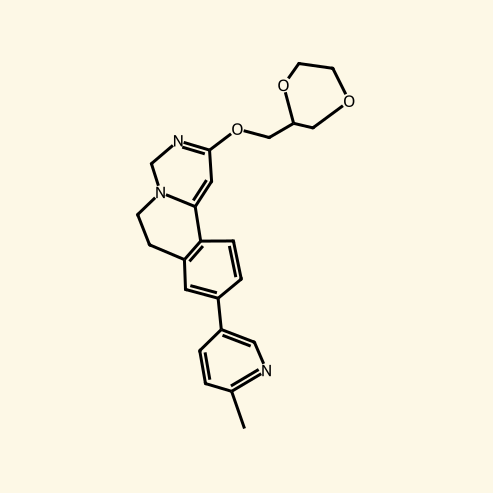 Cc1ccc(-c2ccc3c(c2)CCN2CN=C(OCC4COCCO4)C=C32)cn1